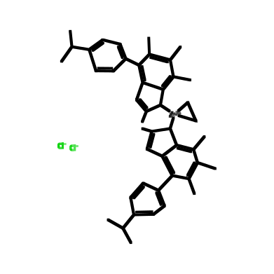 CC1=Cc2c(-c3ccc(C(C)C)cc3)c(C)c(C)c(C)c2[CH]1[Zr+2]1([CH]2C(C)=Cc3c(-c4ccc(C(C)C)cc4)c(C)c(C)c(C)c32)[CH2][CH2]1.[Cl-].[Cl-]